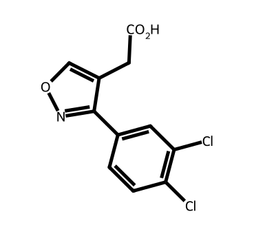 O=C(O)Cc1conc1-c1ccc(Cl)c(Cl)c1